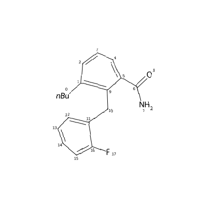 CCCCc1cccc(C(N)=O)c1Cc1ccccc1F